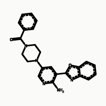 Nc1ncc(N2CCN(C(=O)c3ccccc3)CC2)cc1-c1nc2ccccc2o1